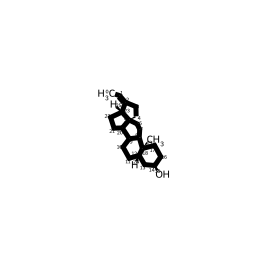 C/C=C1/CC[C@]23CCC4C(CC[C@H]5C[C@H](O)CC[C@]45C)C2CC[C@H]13